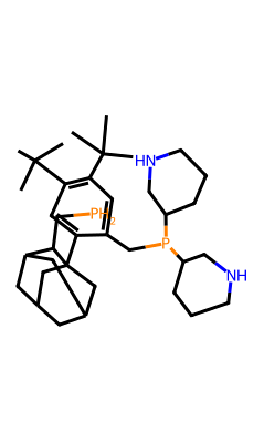 CC(C)(C)c1cc(CP(C2CCCNC2)C2CCCNC2)c(C23CC4CC(CC(C4)C2CP)C3)cc1C(C)(C)C